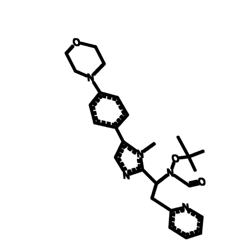 Cn1c(-c2ccc(N3CCOCC3)cc2)cnc1C(Cc1ccccn1)N(C=O)OC(C)(C)C